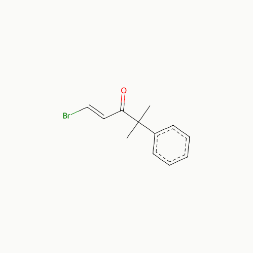 CC(C)(C(=O)/C=C/Br)c1ccccc1